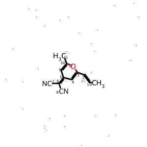 C/C=C/C1=CC(=C(C#N)C#N)C=C(C)O1